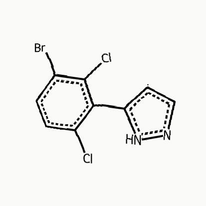 Clc1ccc(Br)c(Cl)c1-c1[c]cn[nH]1